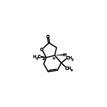 CC1(C)C=CC[C@]2(C)OC(=O)C[C@@H]12